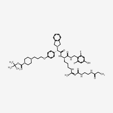 CCC(=O)NCCNC(=O)/N=C(/N)NCCC[C@@H](NC(=O)[C@H](c1ccc(OCCCN2CCN(C(=O)OC(C)(C)C)CC2)cc1)N1Cc2ccccc2C1)C(=O)NCc1c(F)cc(O)cc1F